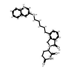 O=C1CCC(N2Cc3c(CCCCCOc4cnc5ccccc5c4)cccc3C2=O)C(=O)N1